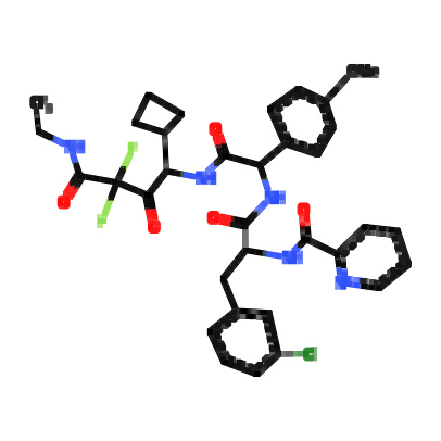 COc1ccc(C(NC(=O)C(Cc2cccc(Cl)c2)NC(=O)c2ccccn2)C(=O)NC(C(=O)C(F)(F)C(=O)NCC(F)(F)F)C2CCC2)cc1